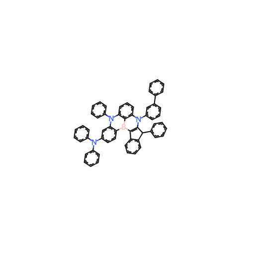 c1ccc(-c2cccc(N3C4=C(B5c6ccc(N(c7ccccc7)c7ccccc7)cc6N(c6ccccc6)c6cccc3c65)c3ccccc3C4c3ccccc3)c2)cc1